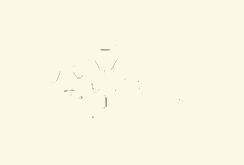 Cl.NC[C@@H](F)C[C@H](N)CN1Cc2ccccc2-c2c([nH]c3ccc(F)cc23)C1=O